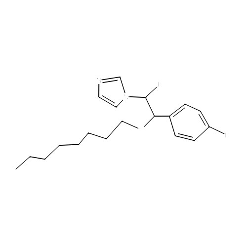 CCCCCCCCSC(c1ccc(Br)cc1)C(Br)n1ccnc1